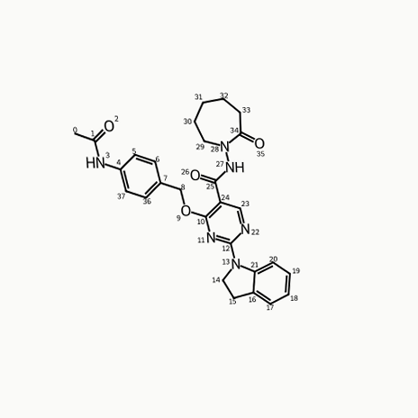 CC(=O)Nc1ccc(COc2nc(N3CCc4ccccc43)ncc2C(=O)NN2CCCCCC2=O)cc1